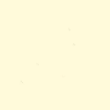 N#Cc1cc(CN)cnc1-c1ccc(C(=O)Nc2ccccc2N)cc1